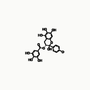 [O]c1ccc([C@@]2(O)Oc3cc(O)c(O)c(O)c3C[C@H]2OC(=O)c2cc(O)c(O)c(O)c2)cc1